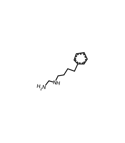 NCNCCCCc1ccccc1